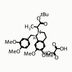 COc1ccc(C[C@@H]2c3cc(OC)c(OC)cc3CCN2C(C)C(=O)OC(C)(C)C)cc1OC.O=C(O)C(=O)O